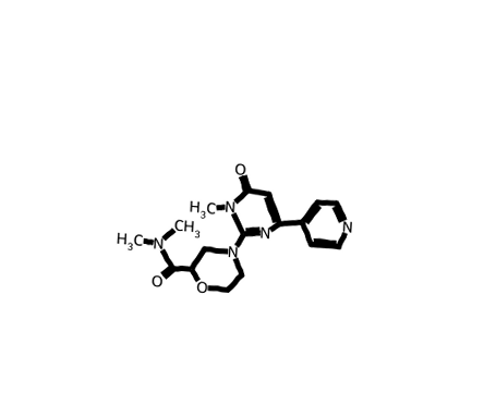 CN(C)C(=O)C1CN(c2nc(-c3ccncc3)cc(=O)n2C)CCO1